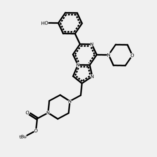 CC(C)(C)OC(=O)N1CCN(Cc2cn3cc(-c4cccc(O)c4)nc(N4CCOCC4)c3n2)CC1